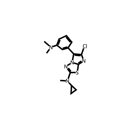 CN(C)c1cccc(-c2c(Cl)nc3sc(N(C)C4CC4)nn23)c1